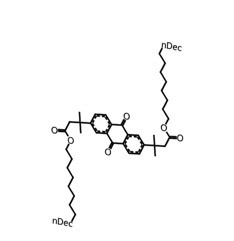 CCCCCCCCCCCCCCCCCCOC(=O)CC(C)(C)c1ccc2c(c1)C(=O)c1ccc(C(C)(C)CC(=O)OCCCCCCCCCCCCCCCCCC)cc1C2=O